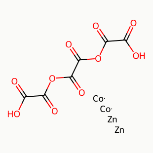 O=C(O)C(=O)OC(=O)C(=O)OC(=O)C(=O)O.[Co].[Co].[Zn].[Zn]